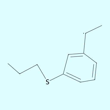 C[CH]c1cccc(SCCC)c1